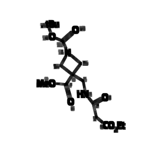 CCOC(=O)CC(=O)NCC1(C(=O)OC)CN(C(=O)OC(C)(C)C)C1